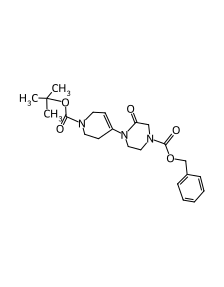 CC(C)(C)OC(=O)N1CC=C(N2CCN(C(=O)OCc3ccccc3)CC2=O)CC1